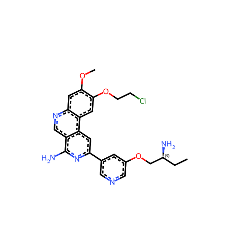 CC[C@H](N)COc1cncc(-c2cc3c(cnc4cc(OC)c(OCCCl)cc43)c(N)n2)c1